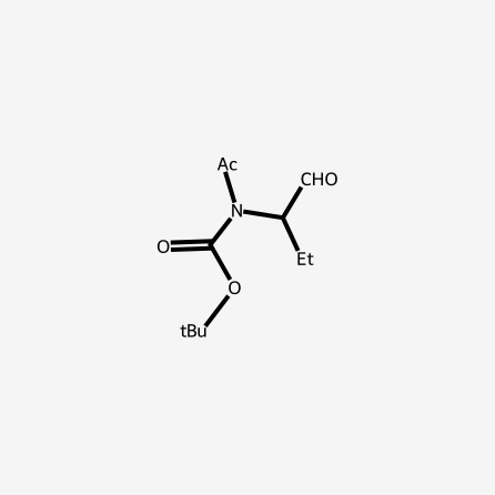 CCC(C=O)N(C(C)=O)C(=O)OC(C)(C)C